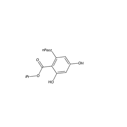 CCCCCc1cc(O)cc(O)c1C(=O)OC(C)C